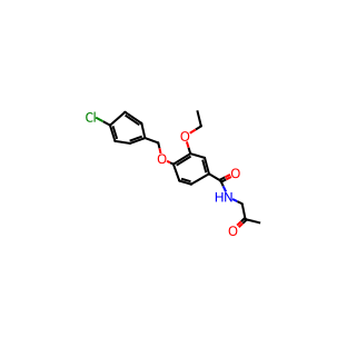 CCOc1cc(C(=O)NCC(C)=O)ccc1OCc1ccc(Cl)cc1